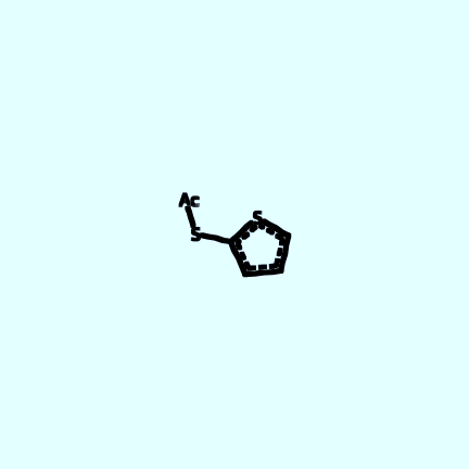 CC(=O)Sc1cccs1